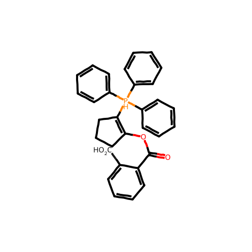 O=C(O)c1ccccc1C(=O)OC1=C([PH](c2ccccc2)(c2ccccc2)c2ccccc2)CCC1